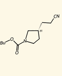 CC(C)(C)OC(=O)N1CC[C@@H](CCC#N)C1